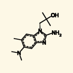 Cc1cc2c(cc1N(C)C)nc(N)n2CC(C)(C)O